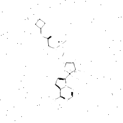 C[C@H](NP(C)(=O)OC[C@H]1O[C@@](C#N)(c2ccc3c(N)ncnn23)[C@H](O)[C@@H]1O)C(=O)OC1CCC1